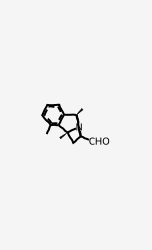 Cc1cccc2c1[C@@]1(C)CC3(C=O)N1[C@]23C